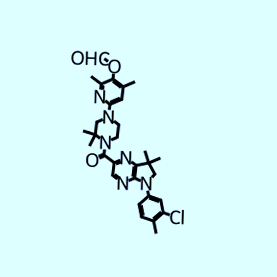 Cc1ccc(N2CC(C)(C)c3nc(C(=O)N4CCN(c5cc(C)c(OC=O)c(C)n5)CC4(C)C)cnc32)cc1Cl